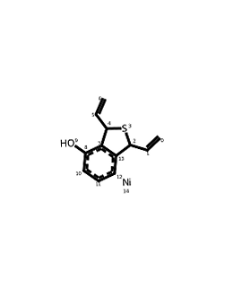 C=CC1SC(C=C)c2c(O)cccc21.[Ni]